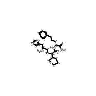 CNC(=O)[C@@H](CCCc1ccccc1)NC(=O)[C@H](NC[C@@H](N)Cc1c[nH]cn1)C1CCCCC1